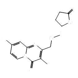 Cc1c(CNC[C@@H]2CCC(=O)N2)nc2cc(Br)ccn2c1=O